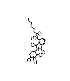 CCCCCCC(=O)Nc1cccc2c1C(=O)N([C@@H]1CCC(=O)NC1=O)C2=O